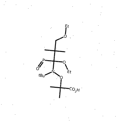 CCOCC(C)(C)C(OCC)(P=O)N(OC(C)(C)C(=O)O)C(C)(C)C